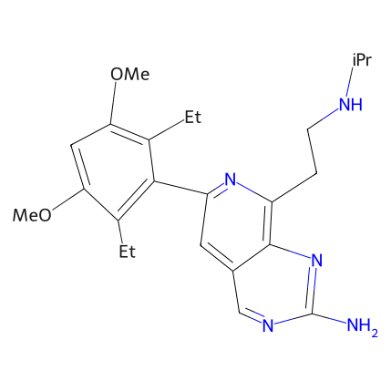 CCc1c(OC)cc(OC)c(CC)c1-c1cc2cnc(N)nc2c(CCNC(C)C)n1